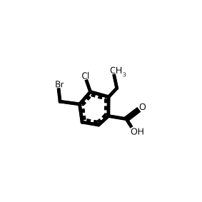 CCc1c(C(=O)O)ccc(CBr)c1Cl